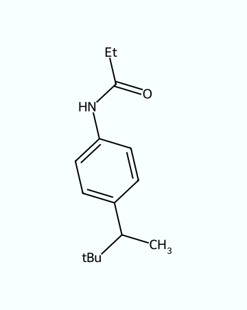 CCC(=O)Nc1ccc(C(C)C(C)(C)C)cc1